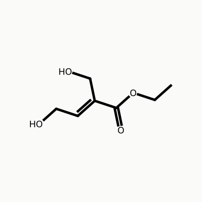 CCOC(=O)C(=CCO)CO